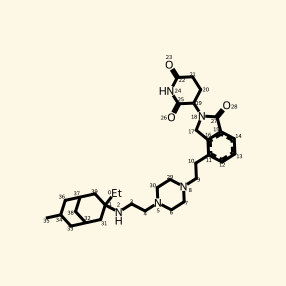 CCC1(NCCN2CCN(CCc3cccc4c3CN(C3CCC(=O)NC3=O)C4=O)CC2)CC2CC(C)CC(C2)C1